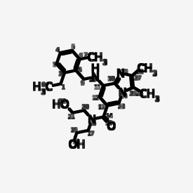 CCc1cccc(C)c1CNc1cc(C(=O)N(CCO)CCO)cn2c(C)c(C)nc12